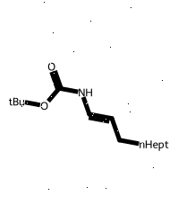 CCCCCCCCC=CNC(=O)OC(C)(C)C